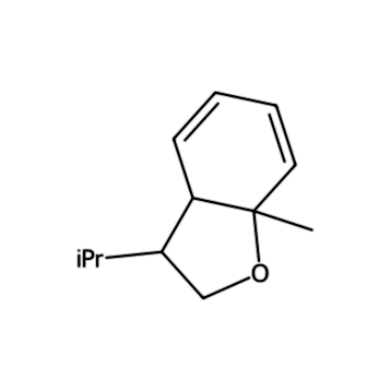 CC(C)C1COC2(C)C=CC=CC12